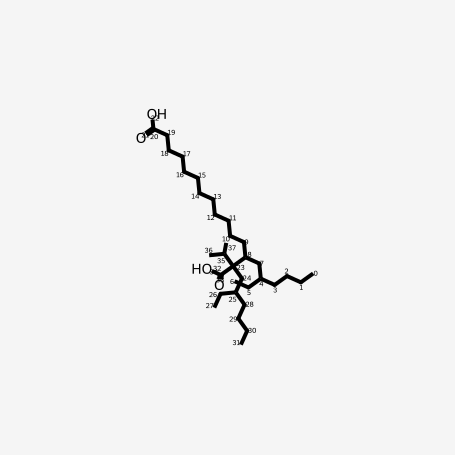 CCCCC(CC)CC(CCCCCCCCCCCC(=O)O)C(CC(CC)CCCC)(C(=O)O)C(C)C